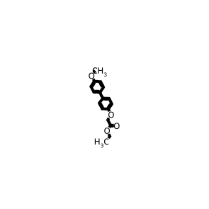 CCOC(=O)COc1ccc(-c2ccc(OC)cc2)cc1